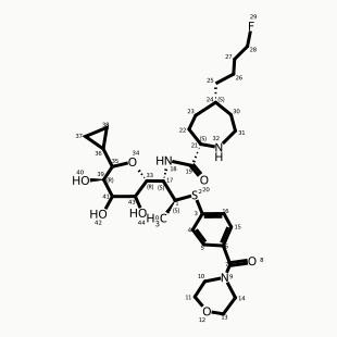 C[C@H](Sc1ccc(C(=O)N2CCOCC2)cc1)[C@@H](NC(=O)[C@@H]1CC[C@H](CCCCF)CCN1)[C@H]1OC(C2CC2)[C@H](O)C(O)C1O